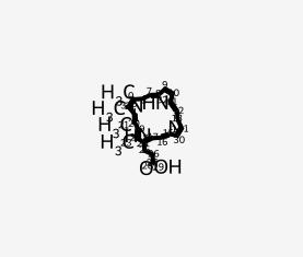 CC1=C(C)c2nc1cc1ccc(cc3nc(cc4[nH]c(c2C)c(C)c4CCC(=O)O)C=C3)[nH]1